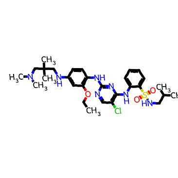 CCOc1cc(NCC(C)(C)CN(C)C)ccc1Nc1ncc(Cl)c(Nc2ccccc2S(=O)(=O)NCC(C)C)n1